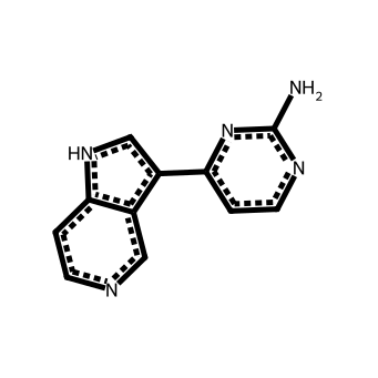 Nc1nccc(-c2c[nH]c3ccncc23)n1